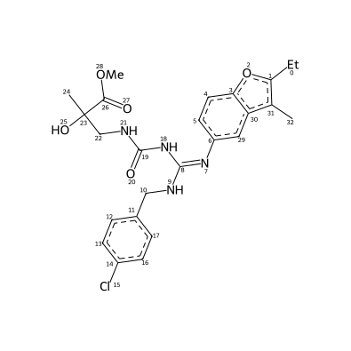 CCc1oc2ccc(/N=C(/NCc3ccc(Cl)cc3)NC(=O)NCC(C)(O)C(=O)OC)cc2c1C